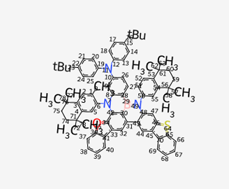 Cc1cc2c(cc1N1c3cc(N(c4ccc(C(C)(C)C)cc4)c4ccc(C(C)(C)C)cc4)ccc3B3c4c(cc5c(oc6ccccc65)c41)-c1cc4c(cc1N3c1ccc3c(c1)C(C)(C)CCC3(C)C)sc1ccccc14)C(C)(C)CCC2(C)C